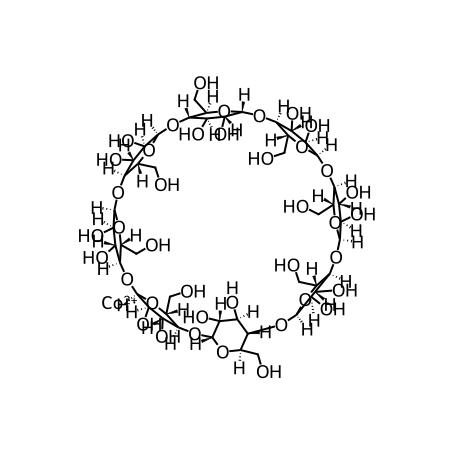 OC[C@H]1O[C@@H]2O[C@H]3[C@H](O)[C@@H](O)[C@@H](O[C@H]4[C@H](O)[C@@H](O)[C@@H](O[C@H]5[C@H](O)[C@@H](O)[C@@H](O[C@H]6[C@H](O)[C@@H](O)[C@@H](O[C@H]7[C@H](O)[C@@H](O)[C@@H](O[C@H]8[C@H](O)[C@@H](O)[C@@H](O[C@H]9[C@H](O)[C@@H](O)[C@@H](O[C@H]1[C@H](O)[C@H]2O)O[C@@H]9CO)O[C@@H]8CO)O[C@@H]7CO)O[C@@H]6CO)O[C@@H]5CO)O[C@@H]4CO)O[C@@H]3CO.[Co+2]